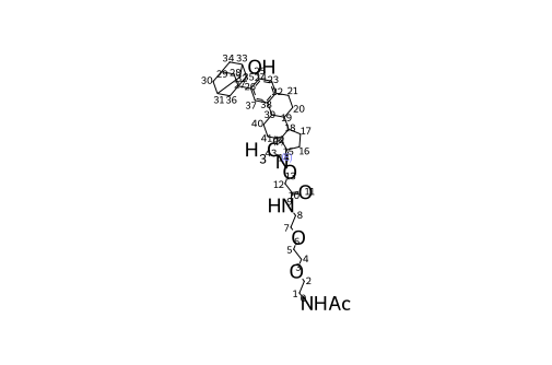 CC(=O)NCCOCCOCCNC(=O)CO/N=C1\CCC2C3CCc4cc(O)c(C56CC7CC(CC(C7)C5)C6)cc4C3CC[C@]12C